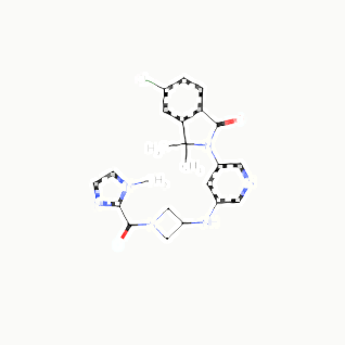 Cn1ccnc1C(=O)N1CC(Nc2cncc(N3C(=O)c4ccc(Cl)cc4C3(C)C)c2)C1